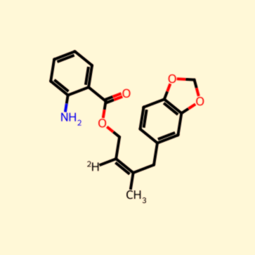 [2H]C(COC(=O)c1ccccc1N)=C(C)Cc1ccc2c(c1)OCO2